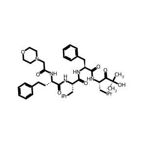 [CH2][C@](C)(O)C(=O)[C@H](CC(C)C)NC(=O)[C@H](Cc1ccccc1)NC(=O)[C@H](CC(C)C)NC(=O)[C@H](CCc1ccccc1)NC(=O)CN1CCOCC1